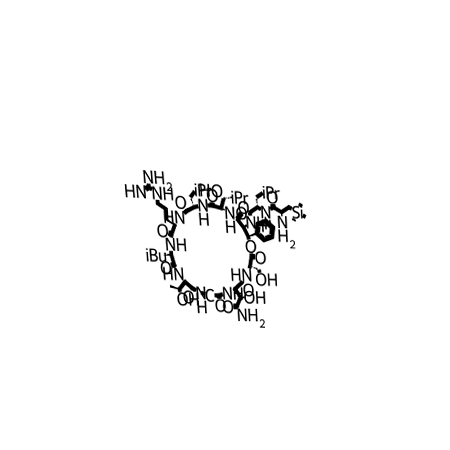 CC[C@H](C)C1NC(=O)[C@@H](CCCNC(=N)N)NC(=O)[C@H](CC(C)C)NC(=O)[C@H]([C@H](O)C(C)C)NC(=O)[C@@H](NC(=O)[C@H](CC(C)C)NC(=O)[C@@H](N)C[Si](C)(C)C)[C@@H](c2ccccc2)OC(=O)[C@H](CO)NC(=O)[C@H]([C@H](O)C(N)=O)NC(=O)CNC(=O)C([C@H](C)O)NC1=O